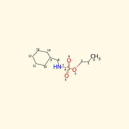 CCCOS(=O)(=O)NCC1CCCCC1